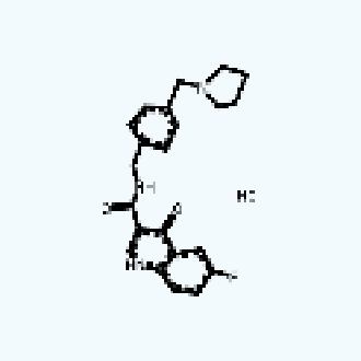 Cl.O=C(NCc1ccc(CN2CCCC2)cc1)c1c[nH]c2ccc(F)cc2c1=O